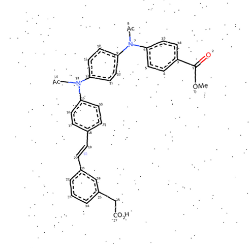 COC(=O)c1ccc(N(C(C)=O)c2ccc(N(C(C)=O)c3ccc(/C=C/c4cccc(CC(=O)O)c4)cc3)cc2)cc1